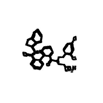 O=C(O)CCN(CCc1ccc(Cl)cc1Cl)C(=O)c1ccccc1-c1ccccc1C(=O)NC1CCc2ccccc21